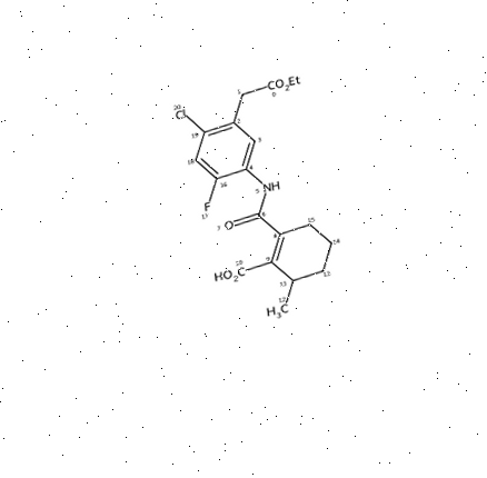 CCOC(=O)Cc1cc(NC(=O)C2=C(C(=O)O)C(C)CCC2)c(F)cc1Cl